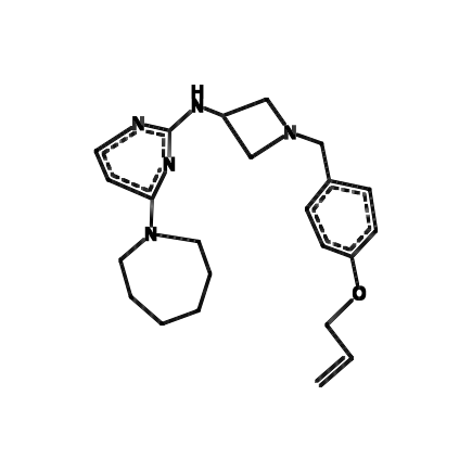 C=CCOc1ccc(CN2CC(Nc3nccc(N4CCCCCC4)n3)C2)cc1